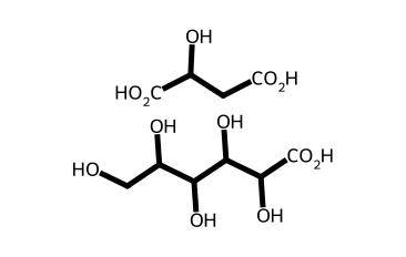 O=C(O)C(O)C(O)C(O)C(O)CO.O=C(O)CC(O)C(=O)O